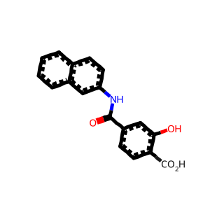 O=C(Nc1ccc2ccccc2c1)c1ccc(C(=O)O)c(O)c1